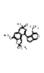 COC1=COC=C2CCC(C3=NC(C)(C)Cc4cc(OC)c5c(c43)CC(C)(C)O5)=C21